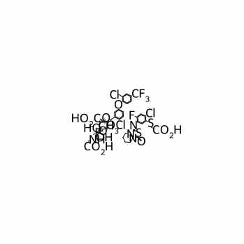 C[C@H](OC(=O)c1cc(Oc2ccc(C(F)(F)F)cc2Cl)ccc1Cl)C(=O)O.O=C(O)CNCP(=O)(O)O.O=C(O)CSc1cc(N=c2sc(=O)n3n2CCCC3)c(F)cc1Cl